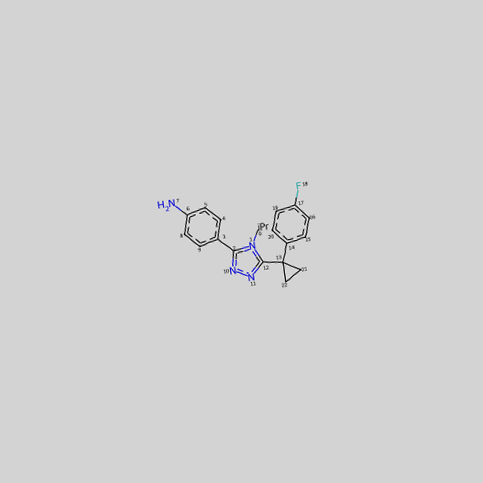 CC(C)n1c(-c2ccc(N)cc2)nnc1C1(c2ccc(F)cc2)CC1